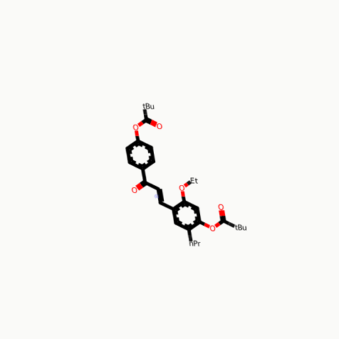 CCCc1cc(/C=C/C(=O)c2ccc(OC(=O)C(C)(C)C)cc2)c(OCC)cc1OC(=O)C(C)(C)C